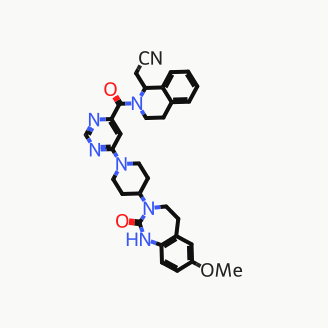 COc1ccc2c(c1)CCN(C1CCN(c3cc(C(=O)N4CCc5ccccc5C4CC#N)ncn3)CC1)C(=O)N2